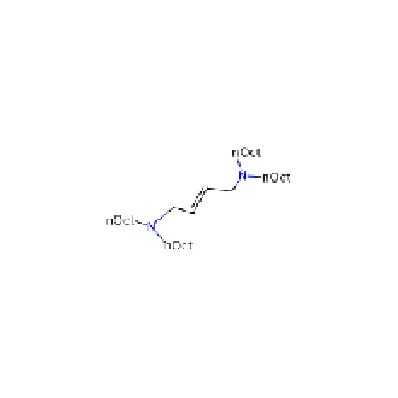 CCCCCCCCN(CC=CCN(CCCCCCCC)CCCCCCCC)CCCCCCCC